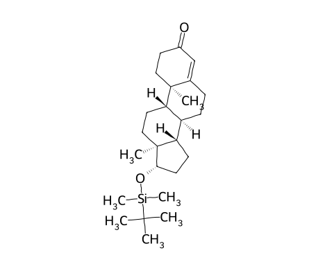 CC(C)(C)[Si](C)(C)O[C@H]1CC[C@H]2[C@@H]3CCC4=CC(=O)CC[C@]4(C)[C@H]3CC[C@]12C